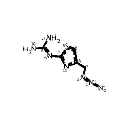 [N-]=[N+]=NCc1csc(N=C(N)N)n1